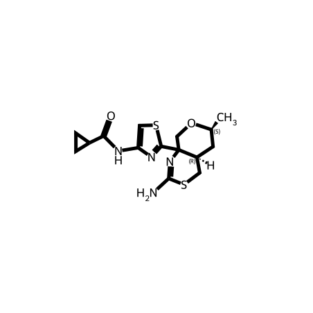 C[C@H]1C[C@H]2CSC(N)=NC2(c2nc(NC(=O)C3CC3)cs2)CO1